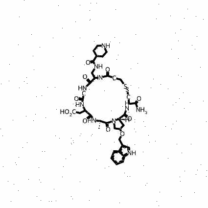 C[C@@H]1NC(=O)C(CC(=O)O)NC(=O)CNC(=O)C(CNC(=O)C2CCNCC2)NC(=O)CCSSCC(C(N)=O)NC(=O)[C@@H]2CC(OCc3c[nH]c4ccccc34)CN2C1=O